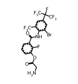 NCC(=O)Oc1cccc(C(=O)Nc2c(Br)cc(C(F)(C(F)(F)F)C(F)(F)F)cc2C(F)(F)F)c1F